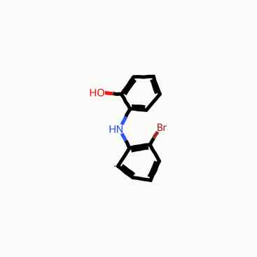 Oc1ccccc1Nc1[c]cccc1Br